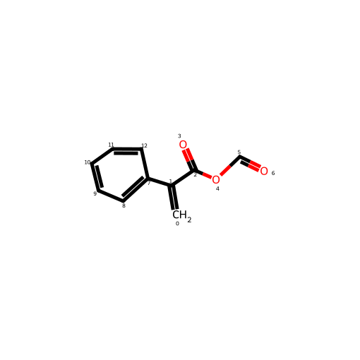 C=C(C(=O)OC=O)c1ccccc1